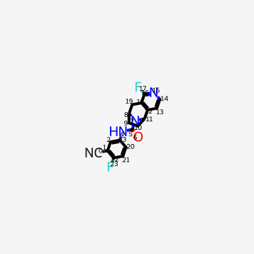 N#Cc1cc(NC(=O)N2C3CCC2c2ccnc(F)c2C3)ccc1F